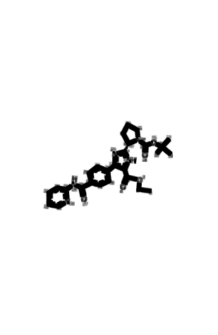 CCOC(=O)c1[nH]c([C@@H]2CCCN2C(=O)OC(C)(C)C)nc1-c1ccc(C(=O)Nc2ccccn2)cc1